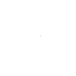 CCCn1c(-c2ccccc2)nc(-c2ccccc2)c1CN(C)Cc1cccc(OCC)c1